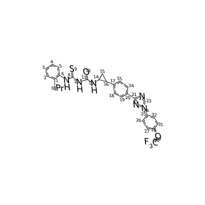 CC(C)c1ccccc1NC(=S)NC(=O)NC1CC1c1ccc(-c2ncn(-c3ccc(OC(F)(F)F)cc3)n2)cc1